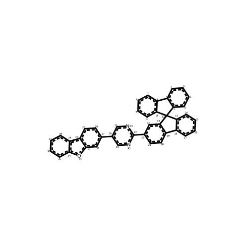 c1ccc2c(c1)-c1ccccc1C21c2ccccc2-c2ccc(-c3ncc(-c4ccc5c(c4)oc4ccccc45)cn3)cc21